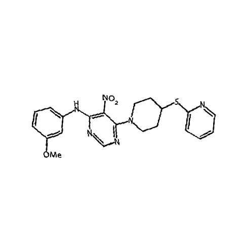 COc1cccc(Nc2ncnc(N3CCC(Sc4ccccn4)CC3)c2[N+](=O)[O-])c1